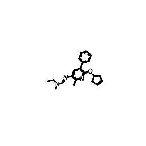 CCN(C)/C=N/c1cc(-c2ccccc2)c(OC2CC=CC2)nc1C